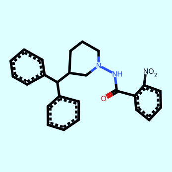 O=C(NN1CCCC(C(c2ccccc2)c2ccccc2)C1)c1ccccc1[N+](=O)[O-]